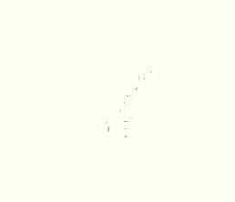 C=CC(=O)Nc1cccc(-c2c(CO)ccc3cnc(Nc4ccc(N5CCN(C)CC5)cc4)nc23)c1